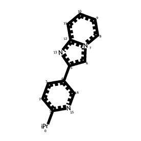 CC(C)c1ccc(-c2cn3ccccc3n2)cn1